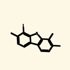 Cc1ccc2c(sc3c(I)c(C)ccc32)c1C